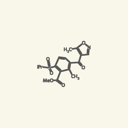 COC(=O)c1c(S(=O)(=O)C(C)C)ccc(C(=O)c2cnoc2C)c1C